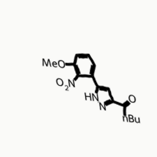 CCCCC(=O)c1cc(-c2cccc(OC)c2[N+](=O)[O-])[nH]n1